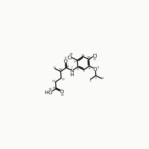 CC(C)Oc1cc(NC(=O)C(C)CCC(=O)O)c(Cl)cc1Cl